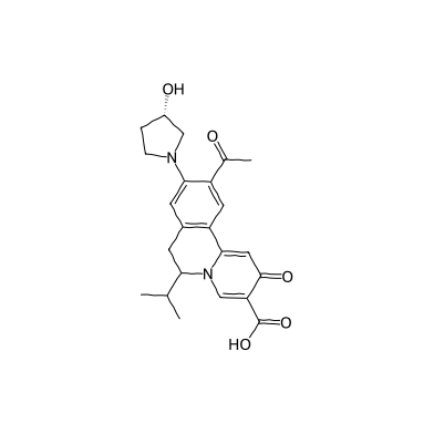 CC(=O)c1cc2c(cc1N1CC[C@H](O)C1)CC(C(C)C)n1cc(C(=O)O)c(=O)cc1-2